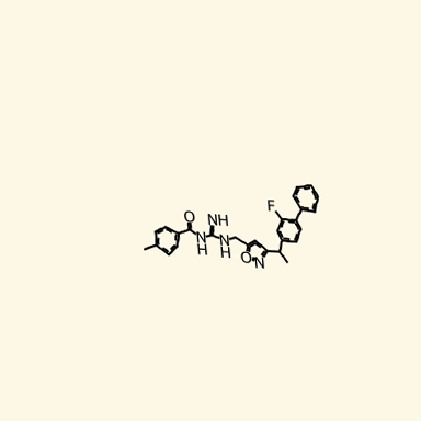 Cc1ccc(C(=O)NC(=N)NCc2cc(C(C)c3ccc(-c4ccccc4)c(F)c3)no2)cc1